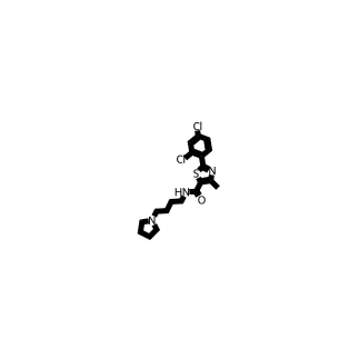 Cc1nc(-c2ccc(Cl)cc2Cl)sc1C(=O)NCCCCN1CCCC1